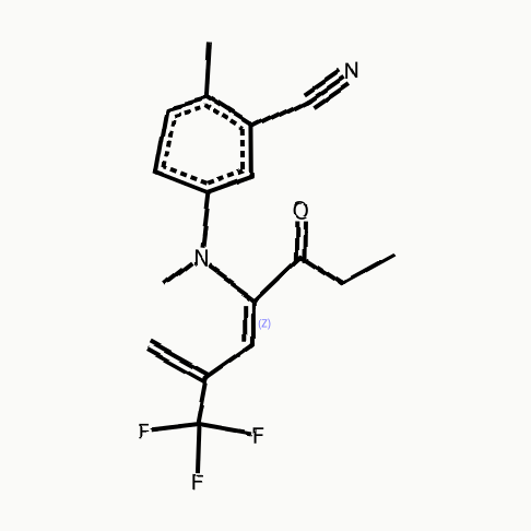 C=C(/C=C(/C(=O)CC)N(C)c1ccc(C)c(C#N)c1)C(F)(F)F